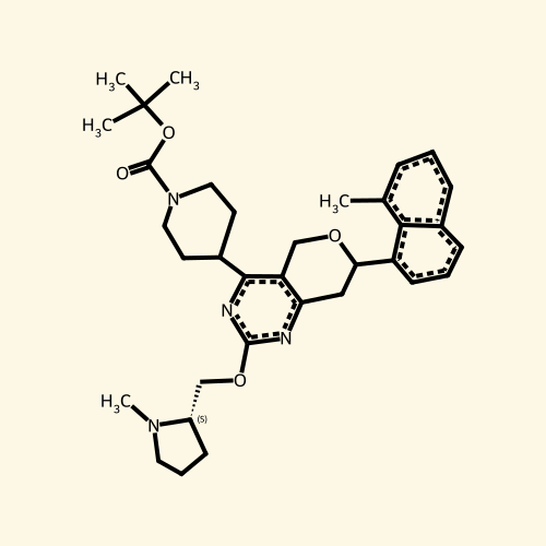 Cc1cccc2cccc(C3Cc4nc(OC[C@@H]5CCCN5C)nc(C5CCN(C(=O)OC(C)(C)C)CC5)c4CO3)c12